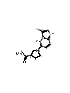 COC(=O)C1CCN(c2ccc3ncc(I)n3n2)C1